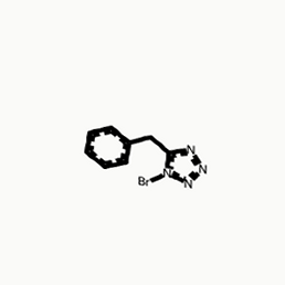 Brn1nnnc1Cc1ccccc1